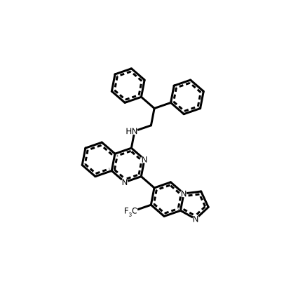 FC(F)(F)c1cc2nccn2cc1-c1nc(NCC(c2ccccc2)c2ccccc2)c2ccccc2n1